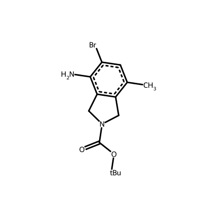 Cc1cc(Br)c(N)c2c1CN(C(=O)OC(C)(C)C)C2